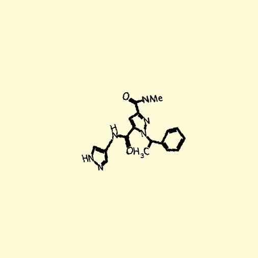 CNC(=O)c1cc(C(=O)Nc2cn[nH]c2)n(C(C)c2ccccc2)n1